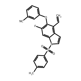 C=Cc1c(Oc2cccc(C#N)c2)c(F)cc2c1ccn2S(=O)(=O)c1ccc(C)cc1